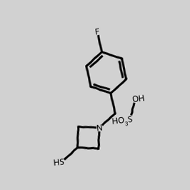 Fc1ccc(CN2CC(S)C2)cc1.O=S(=O)(O)O